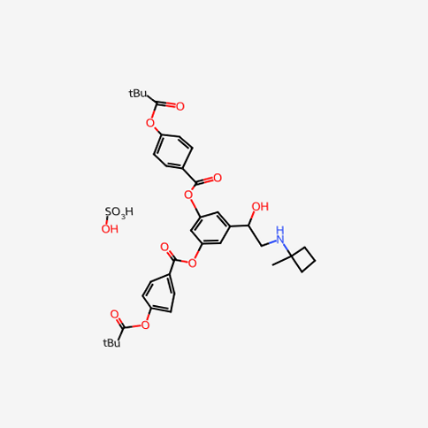 CC1(NCC(O)c2cc(OC(=O)c3ccc(OC(=O)C(C)(C)C)cc3)cc(OC(=O)c3ccc(OC(=O)C(C)(C)C)cc3)c2)CCC1.O=S(=O)(O)O